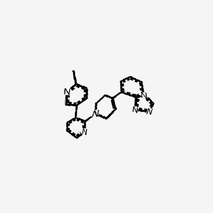 Cc1ccc(-c2cccnc2N2CC=C(c3cccn4cnnc34)CC2)cn1